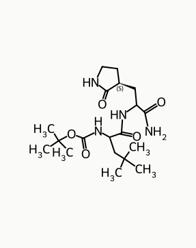 CC(C)(C)CC(NC(=O)OC(C)(C)C)C(=O)NC(C[C@@H]1CCNC1=O)C(N)=O